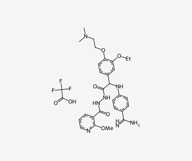 CCOc1cc(C(Nc2ccc(C(=N)N)cc2)C(=O)NNC(=O)c2cccnc2OC)ccc1OCCN(C)C.O=C(O)C(F)(F)F